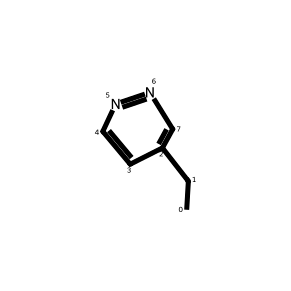 C[CH]c1ccnnc1